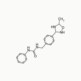 CC1NC(c2ccc(CNC(=O)Nc3ccccc3)cc2)NO1